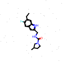 CCc1cc2[nH]c(CNC(=O)N3CCC(C)C3)cc2cc1F